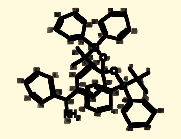 CC(C)(C)[Si](OC1(O[Si](c2ccccc2)(c2ccccc2)C(C)(C)C)C=CC(C(N)c2ccccc2)=CC1)(c1ccccc1)c1ccccc1